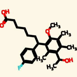 COc1c(C)c(C)c(C(C)O)c(C)c1C(CCCCCC(=O)O)c1ccc(F)cc1